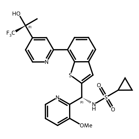 COc1cccnc1[C@@H](NS(=O)(=O)C1CC1)c1cc2cccc(-c3cc([C@@](C)(O)C(F)(F)F)ccn3)c2s1